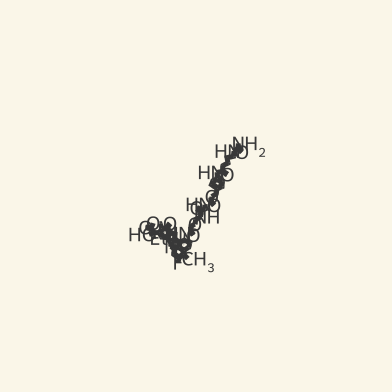 CC[C@@]1(O)C(=O)OCc2c1cc1n(c2=O)Cc2c-1nc1cc(F)c(C)c3c1c2[C@@H](NC(=O)COCNC(=O)CNC(=O)OCc1ccc(NC(=O)CCCCNC(N)=O)cc1)CC3